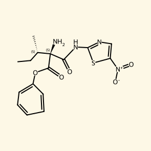 CC[C@H](C)[C@](N)(C(=O)Nc1ncc([N+](=O)[O-])s1)C(=O)Oc1ccccc1